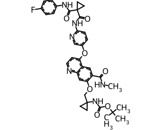 CNC(=O)c1cc2c(Oc3ccc(NC(=O)C4(C(=O)Nc5ccc(F)cc5)CC4)nc3)ccnc2cc1OCC1(NC(=O)OC(C)(C)C)CC1